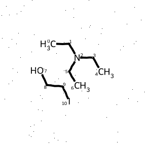 CCN(CC)CC.OCCI